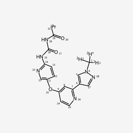 [2H]C([2H])([2H])n1cc(-c2cc(Oc3ccc(NC(=O)NC(=O)C(C)C)nc3)ccn2)cn1